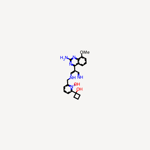 COc1cccc2c(/C(C=N)=C/NCc3cccc(C4(O)CCC4)[n+]3O)nc(N)nc12